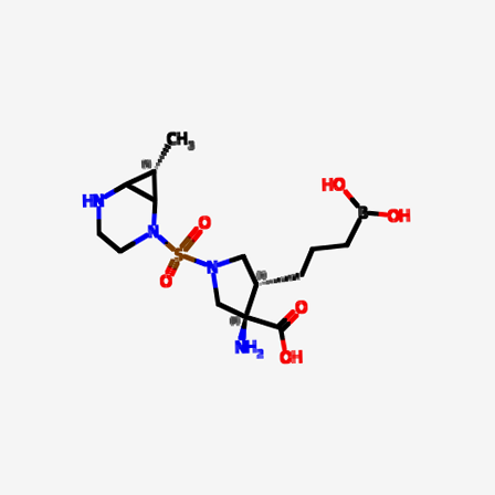 C[C@H]1C2NCCN(S(=O)(=O)N3C[C@H](CCCB(O)O)[C@](N)(C(=O)O)C3)C21